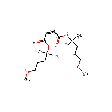 COCCC[Si](C)(C)OC(=O)/C=C\C(=O)O[Si](C)(C)CCCOC